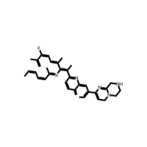 C=C(C)/C(F)=C\C=C(/C)C(/N=C(C)/C=C\C=C/C)=C(C)c1ccc(=C)/c(=C\C(=C/C)C2=CCN3CCNCC3=N2)n1